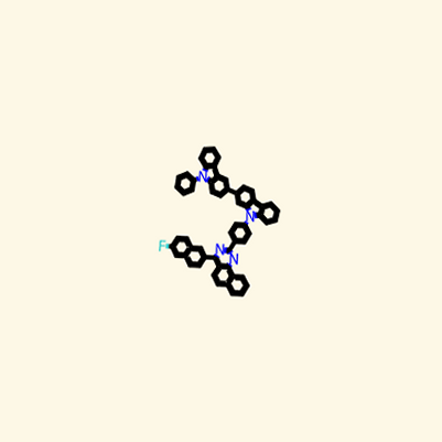 Fc1ccc2cc(-c3nc(-c4ccc(-n5c6ccccc6c6ccc(-c7ccc8c(c7)c7ccccc7n8-c7ccccc7)cc65)cc4)nc4c3ccc3ccccc34)ccc2c1